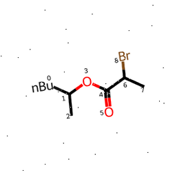 CCCCC(C)OC(=O)C(C)Br